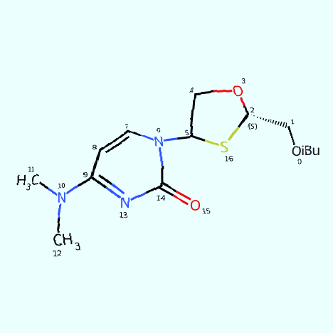 CC(C)COC[C@H]1OCC(n2ccc(N(C)C)nc2=O)S1